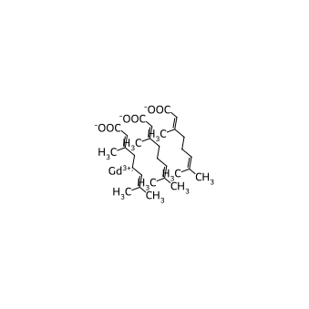 CC(C)=CCC/C(C)=C/C(=O)[O-].CC(C)=CCC/C(C)=C/C(=O)[O-].CC(C)=CCC/C(C)=C/C(=O)[O-].[Gd+3]